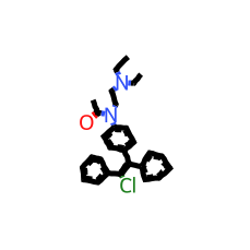 CCN(CC)CCN(C(C)=O)c1ccc(/C(=C(/Cl)c2ccccc2)c2ccccc2)cc1